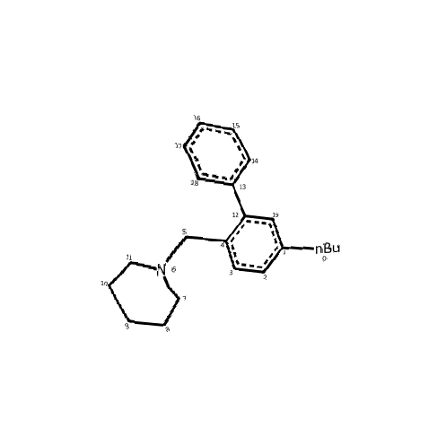 CCCCc1ccc(CN2CCCCC2)c(-c2ccccc2)c1